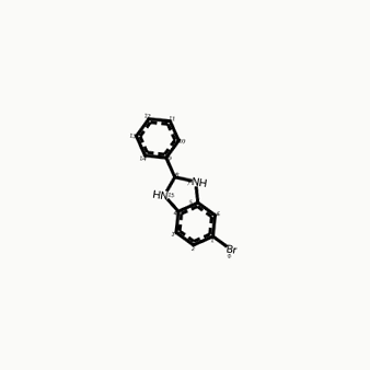 Brc1ccc2c(c1)NC(c1ccccc1)N2